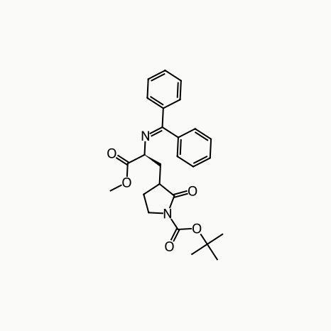 COC(=O)[C@H](CC1CCN(C(=O)OC(C)(C)C)C1=O)N=C(c1ccccc1)c1ccccc1